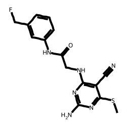 CSc1nc(N)nc(NCC(=O)Nc2cccc(CF)c2)c1C#N